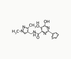 Cc1nn(C)cc1CNC(=O)c1nc(-c2cccs2)nc(O)c1O